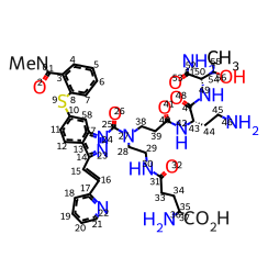 CNC(=O)c1ccccc1Sc1ccc2c(/C=C/c3ccccn3)nn(C(=O)N(CCNC(=O)CC[C@H](N)C(=O)O)CCC(=O)N[C@@H](CCN)C(=O)N[C@H](C(N)=O)[C@@H](C)O)c2c1